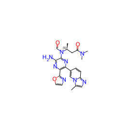 Cc1cnc2ccc(-c3nc(N(C=O)[C@@H](C)CC(=O)N(C)C)c(N)nc3-c3ncco3)cn12